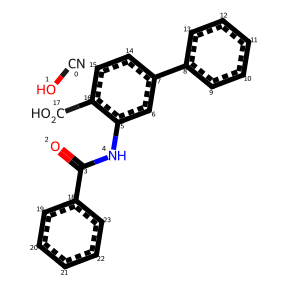 N#CO.O=C(Nc1cc(-c2ccccc2)ccc1C(=O)O)c1ccccc1